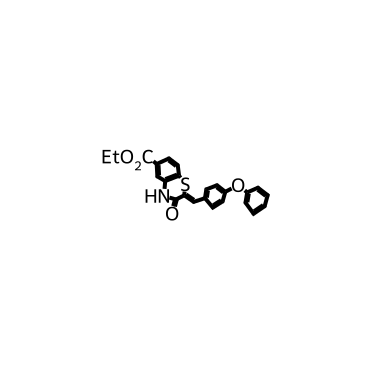 CCOC(=O)c1ccc2c(c1)NC(=O)C(=Cc1ccc(Oc3ccccc3)cc1)S2